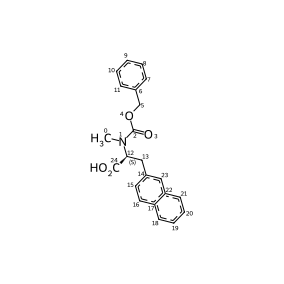 CN(C(=O)OCc1ccccc1)[C@@H](Cc1ccc2ccccc2c1)C(=O)O